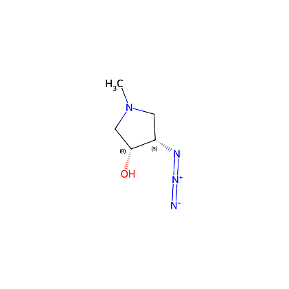 CN1C[C@@H](O)[C@@H](N=[N+]=[N-])C1